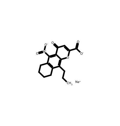 CCCc1c2c(c([N+](=O)[O-])c3c(=O)cc(C(=O)[O-])oc13)CCCC2.[Na+]